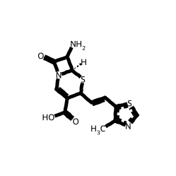 Cc1ncsc1C=CC1S[C@@H]2C(N)C(=O)N2C=C1C(=O)O